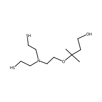 CC(C)(CCO)OCCN(CCS)CCS